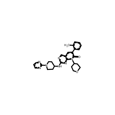 Cc1ccccc1-c1cc2cnc(NC3CCN(c4ncccn4)CC3)nc2n(C2CCOCC2)c1=O